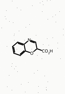 O=C(O)C1C=Nc2ccccc2O1